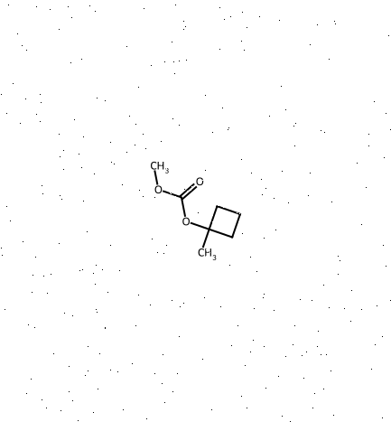 COC(=O)OC1(C)CCC1